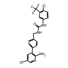 Nc1ncc(Cl)cc1-c1ccc(CNC(=O)Nc2ccc(Cl)c(C(F)(F)F)c2)cc1